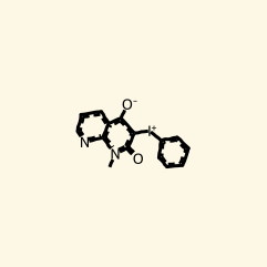 Cn1c(=O)c([I+]c2ccccc2)c([O-])c2cccnc21